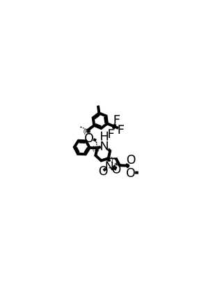 COC(=O)CC[C@@]1([N+](=O)[O-])CC[C@@](CO[C@H](C)c2cc(C)cc(C(F)(F)F)c2)(c2ccccc2)NC1